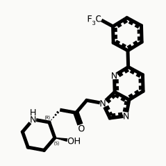 O=C(C[C@H]1NCCC[C@@H]1O)Cn1cnc2ccc(-c3cccc(C(F)(F)F)c3)nc21